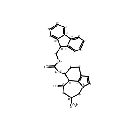 O=C(NC1CCc2ccn3c2C1C(=O)CC(C(=O)O)C3)OCC1c2ccccc2-c2ccccc21